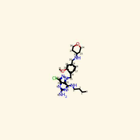 CCCCNc1nc(N)nc2c(Cl)nn(Cc3ccc(CNC4CCOCC4)cc3OC)c12